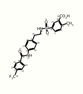 Cc1ccc(S(=O)(=O)NCCc2ccc(NC(=O)c3ccc(C(F)(F)F)cc3)cc2)cc1C(=O)O